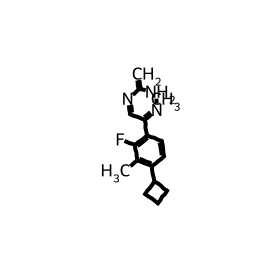 C=C(N)/N=C\C(=N/C)c1ccc(C2CCC2)c(C)c1F